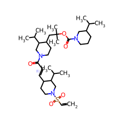 C=CS(=O)(=O)N1CCC(/C=C/C(=O)N2CCC(CC(C)(C)OC(=O)N3CCCC(C(C)C)C3)C(C(C)C)C2)C(C(C)C)C1